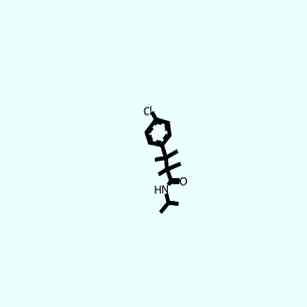 CC(C)NC(=O)C(C)(C)C(C)(C)c1ccc(Cl)cc1